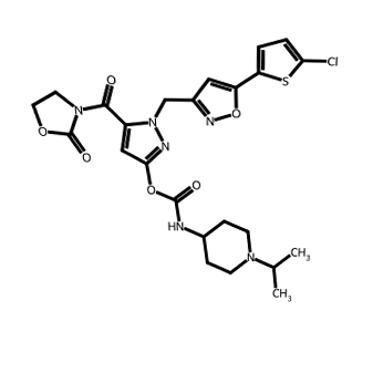 CC(C)N1CCC(NC(=O)Oc2cc(C(=O)N3CCOC3=O)n(Cc3cc(-c4ccc(Cl)s4)on3)n2)CC1